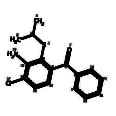 CC(C)Sc1c(C(=O)c2ccccc2)ccc(Cl)c1N